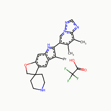 Cc1c(-c2[nH]c3cc4c(cc3c2C(C)C)C2(CCNCC2)CO4)cn2ncnc2c1C.O=C(O)C(F)(F)F